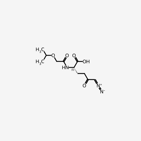 CC(C)OCC(=O)N[C@@H](CCC(=O)C=[N+]=[N-])C(=O)O